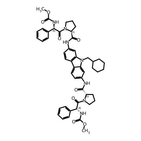 COC(=O)N[C@@H](C(=O)N1CCC[C@H]1C(=O)Nc1ccc2c3ccc(NC(=O)[C@@H]4CCCN4C(=O)[C@H](NC(=O)OC)c4ccccc4)cc3n(CC3CCCCC3)c2c1)c1ccccc1